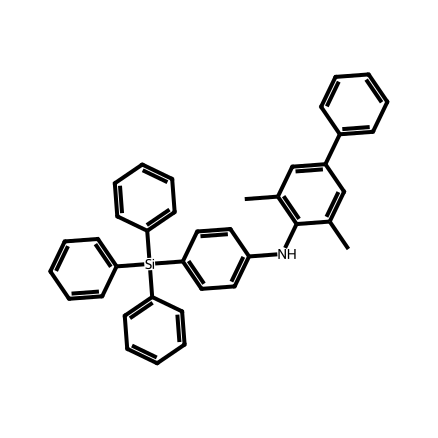 Cc1cc(-c2ccccc2)cc(C)c1Nc1ccc([Si](c2ccccc2)(c2ccccc2)c2ccccc2)cc1